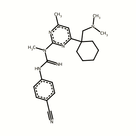 Cc1cc(C2(CN(C)C)CCCCC2)nc(N(C)C(=N)Nc2ccc(C#N)cc2)n1